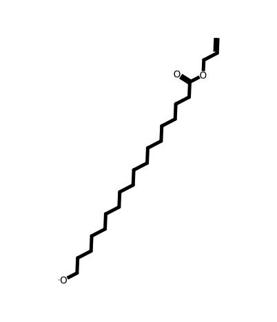 C=CCOC(=O)CCCCCCCCCCCCCCCCC[O]